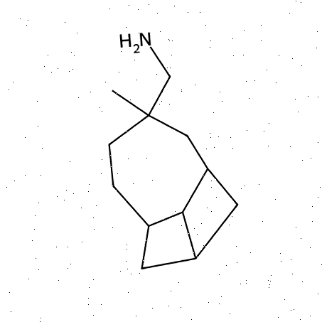 CC1(CN)CCC2CC3CC(C1)C23